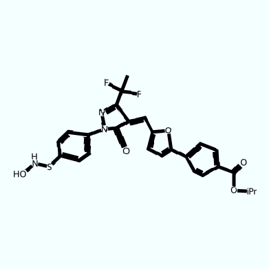 CC(C)OC(=O)c1ccc(-c2ccc(/C=C3\C(=O)N(c4ccc(SNO)cc4)N=C3C(C)(F)F)o2)cc1